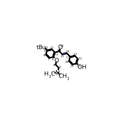 CN(C)CCOc1ccc(C(C)(C)C)cc1C(=O)/C=C/c1ccc(O)cc1